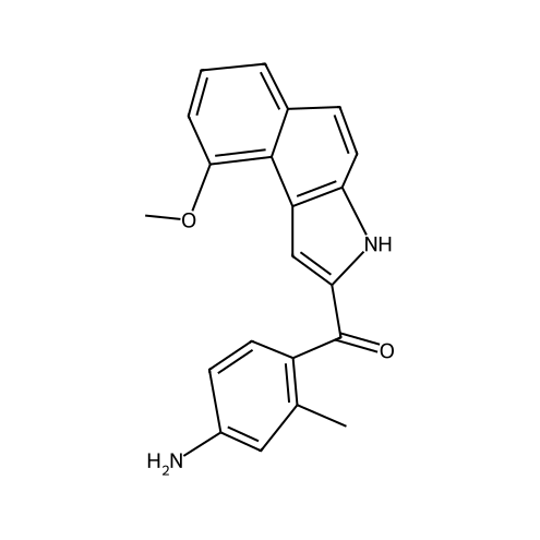 COc1cccc2ccc3[nH]c(C(=O)c4ccc(N)cc4C)cc3c12